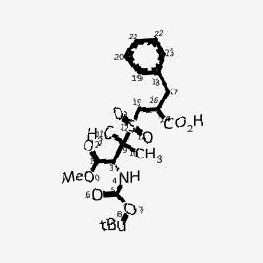 COC(=O)[C@@H](NC(=O)OC(C)(C)C)C(C)(C)S(=O)(=O)CC(Cc1ccccc1)C(=O)O